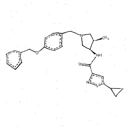 C[C@@H]1CN(Cc2ccc(OCc3ccccc3)cc2)C[C@@H]1NC(=O)c1cn(C2CC2)nn1